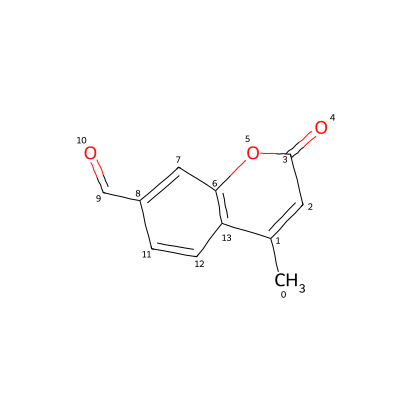 Cc1cc(=O)oc2cc(C=O)ccc12